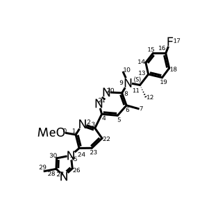 COc1nc(-c2cc(C)c(N(C)[C@@H](C)c3ccc(F)cc3)nn2)ccc1-n1cnc(C)c1